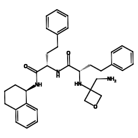 NCC1(N[C@@H](CCc2ccccc2)C(=O)N[C@@H](CCc2ccccc2)C(=O)N[C@@H]2CCCc3ccccc32)COC1